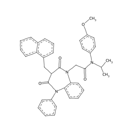 COc1ccc(N(C(=O)CN2C(=O)C(Cc3cccc4ccccc34)C(=O)N(c3ccccc3)c3ccccc32)C(C)C)cc1